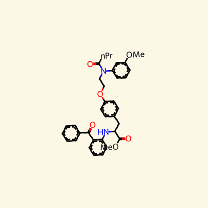 CCCC(=O)N(CCOc1ccc(CC(Nc2ccccc2C(=O)c2ccccc2)C(=O)OC)cc1)c1cccc(OC)c1